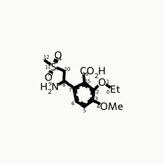 CCOc1c(OC)ccc(C(N)CS(C)(=O)=O)c1C(=O)O